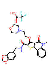 Cn1c(=O)c2c(OCCN3CCOCC3)c(C(=O)NCc3ccc4c(c3)OCO4)sc2c2ccccc21.O=C(O)C(F)(F)F